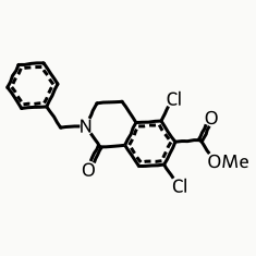 COC(=O)c1c(Cl)cc2c(c1Cl)CCN(Cc1ccccc1)C2=O